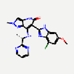 COc1cc(F)c2nc(-c3c(N[C@@H](C)c4ncccn4)c4nn(C)cc4[nH]c3=O)[nH]c2c1